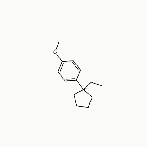 CC[N+]1(c2ccc(OC)cc2)CCCC1